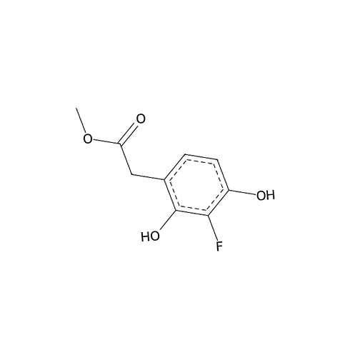 COC(=O)Cc1ccc(O)c(F)c1O